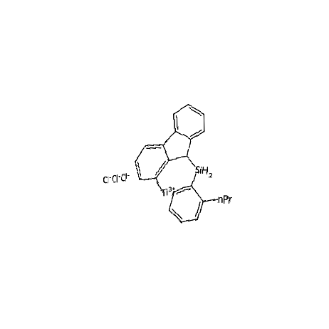 CCCc1ccccc1[SiH2]C1c2ccccc2-c2ccc[c]([Ti+3])c21.[Cl-].[Cl-].[Cl-]